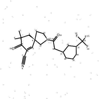 CC1(C)C[C@@]2(C=C(C#N)C1=O)CCN(C(=O)CC1CCCC(C(F)(F)F)C1)C2